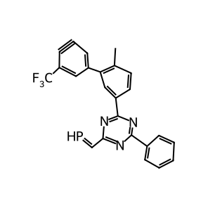 Cc1ccc(-c2nc(C=P)nc(-c3ccccc3)n2)cc1-c1cc#cc(C(F)(F)F)c1